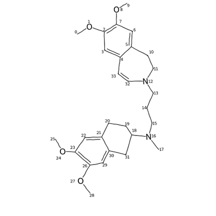 COc1cc2c(cc1OC)CCN(CCCN(C)C1CCc3cc(OC)c(OC)cc3C1)C=C2